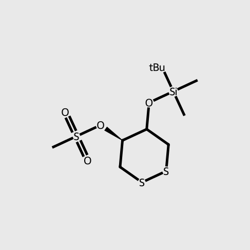 CC(C)(C)[Si](C)(C)OC1CSSC[C@H]1OS(C)(=O)=O